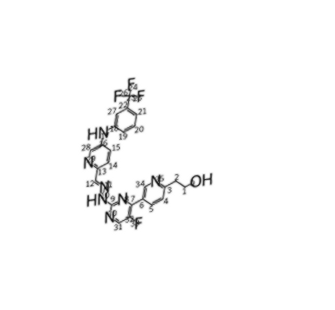 OCCc1ccc(-c2nc(N/N=C/c3ccc(Nc4cccc(C(F)(F)F)c4)cn3)ncc2F)cn1